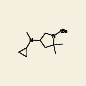 CN(C1CC1)C1CN(C(C)(C)C)C(C)(C)C1